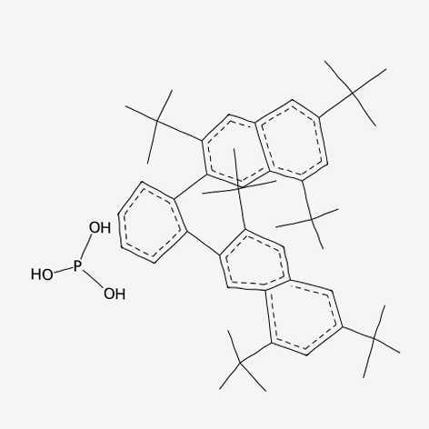 CC(C)(C)c1cc(C(C)(C)C)c2cc(-c3ccccc3-c3cc4c(C(C)(C)C)cc(C(C)(C)C)cc4cc3C(C)(C)C)c(C(C)(C)C)cc2c1.OP(O)O